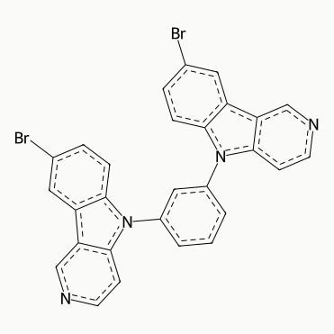 Brc1ccc2c(c1)c1cnccc1n2-c1cccc(-n2c3ccncc3c3cc(Br)ccc32)c1